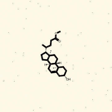 COC(=O)CCC(C)[C@H]1CCC2[C@@H]3CC=C4C[C@@H](O)CC[C@]4(C)[C@H]3CC[C@@]21C